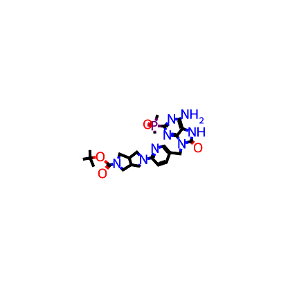 CC(C)(C)OC(=O)N1CC2CN(c3ccc(Cn4c(=O)[nH]c5c(N)nc(P(C)(C)=O)nc54)cn3)CC2C1